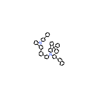 c1ccc(-c2ccc(-n3c4ccccc4c4cc(-c5cccc(-c6cccc(N(c7ccc(-c8ccc9ccccc9c8)cc7)c7ccc8c(c7)C(c7ccccc7)(c7ccccc7)c7ccccc7-8)c6)c5)ccc43)cc2)cc1